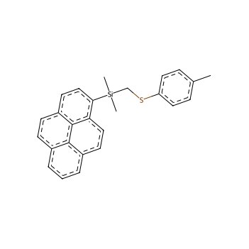 Cc1ccc(SC[Si](C)(C)c2ccc3ccc4cccc5ccc2c3c45)cc1